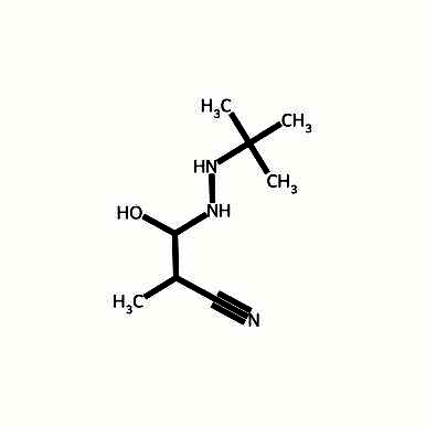 CC(C#N)C(O)NNC(C)(C)C